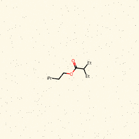 CCC(CC)C(=O)OCCC(C)C